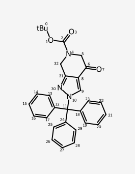 CC(C)(C)OC(=O)N1CC(=O)c2cn(C(c3ccccc3)(c3ccccc3)c3ccccc3)nc2C1